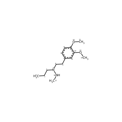 CCCN(CCc1ccc(OC)c(OC)c1)NC